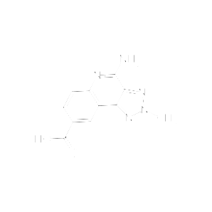 Cn1nc2c(N)nc3ccc(C(=O)O)cc3c2n1